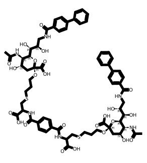 CC(=O)N[C@H]1[C@H]([C@H](O)[C@H](O)CNC(=O)c2ccc(-c3ccccc3)cc2)O[C@@](OCCCSCC(NC(=O)c2ccc(C(=O)NC(CSCCCO[C@]3(C(=O)O)C[C@H](O)[C@@H](NC(C)=O)[C@H]([C@H](O)[C@H](O)CNC(=O)c4ccc(-c5ccccc5)cc4)O3)C(=O)O)cc2)C(=O)O)(C(=O)O)C[C@@H]1O